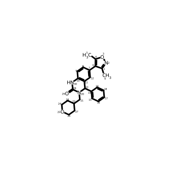 Cc1noc(C)c1-c1ccc2c(c1)C(c1ccccc1)N(CC1CCOCC1)C(=O)N2